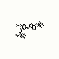 CC(C)(C)[Si](C)(C)Oc1cccc2c1CCC2Oc1ccc(C=O)c(OCC[Si](C)(C)C)n1